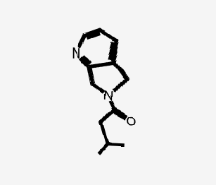 CC(C)CC(=O)N1Cc2cccnc2C1